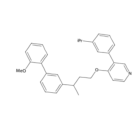 COc1ccccc1-c1cccc(C(C)CCOc2ccncc2-c2cccc(C(C)C)c2)c1